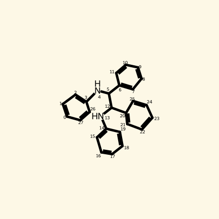 c1ccc(NC(c2ccccc2)C(Nc2ccccc2)c2ccccc2)cc1